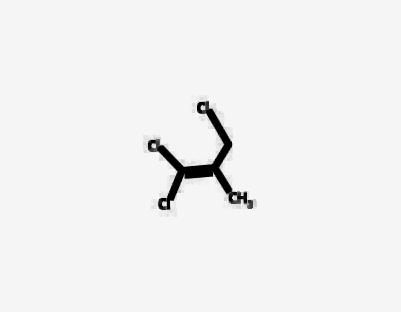 CC(CCl)=C(Cl)Cl